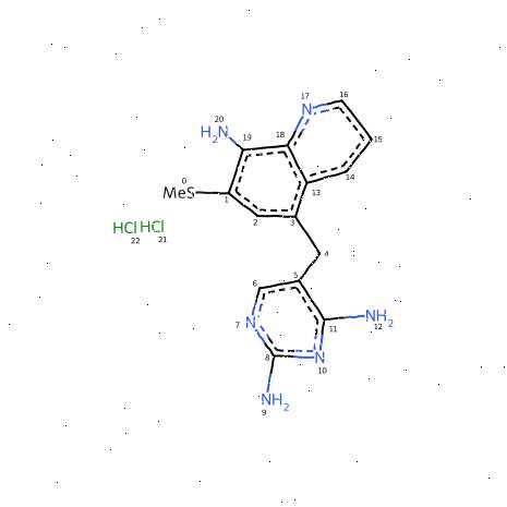 CSc1cc(Cc2cnc(N)nc2N)c2cccnc2c1N.Cl.Cl